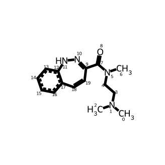 CN(C)CCN(C)C(=O)C1=NNc2ccccc2C=C1